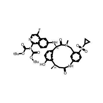 C[C@@H]1CC(=O)Nc2ccc(S(=O)(=O)C3CC3)c(c2)CN(C)C(=O)[C@H](Nc2ccc3c(N(C(=O)OC(C)(C)C)C(=O)OC(C)(C)C)ncc(F)c3c2)c2ccc(O)c1c2